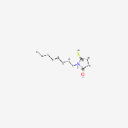 CCCCCCCCN1C(=O)[CH]CC1=S